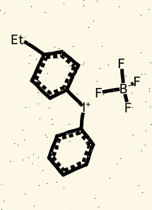 CCc1ccc([I+]c2ccccc2)cc1.F[B-](F)(F)F